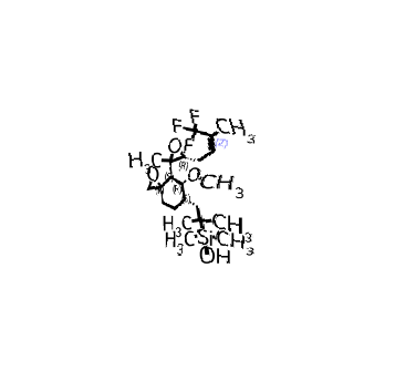 CO[C@@H]1[C@H](CC(C)(C)[Si](C)(C)O)CC[C@]2(CO2)[C@H]1C1(C)O[C@@H]1C/C=C(/C)C(F)(F)F